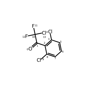 O=C(c1c(Cl)cccc1Cl)C(F)(F)Cl